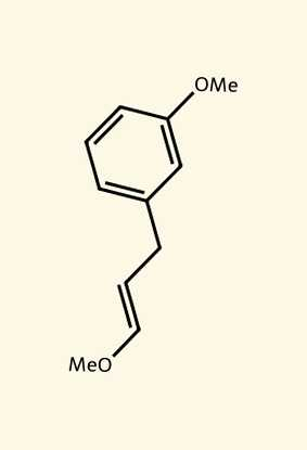 COC=CCc1cccc(OC)c1